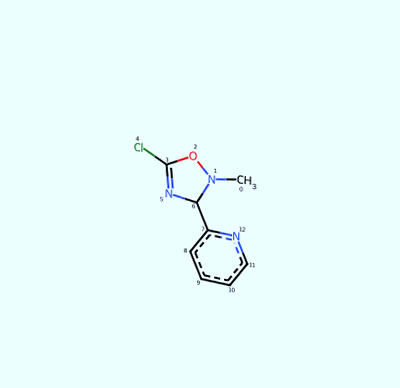 CN1OC(Cl)=NC1c1ccccn1